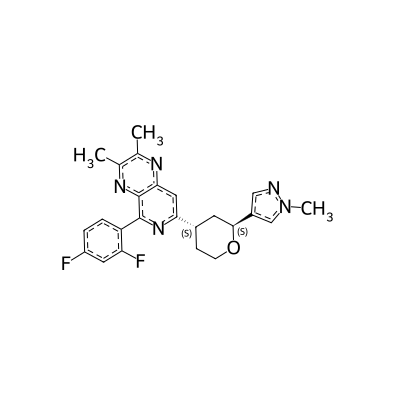 Cc1nc2cc([C@H]3CCO[C@H](c4cnn(C)c4)C3)nc(-c3ccc(F)cc3F)c2nc1C